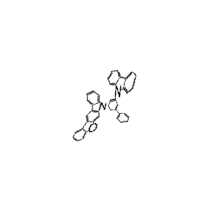 C1=C(c2ccccc2)CC(n2c3ccccc3c3cc4c(cc32)oc2ccccc24)C=C1n1c2ccccc2c2ccccc21